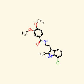 COc1ccc(C(=O)NCCc2c(C)[nH]c3c(Cl)cccc23)cc1OC